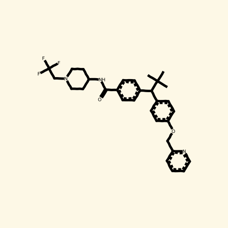 CC(C)(C)C(c1ccc(OCc2ccccn2)cc1)c1ccc(C(=O)NC2CCN(CC(F)(F)F)CC2)cc1